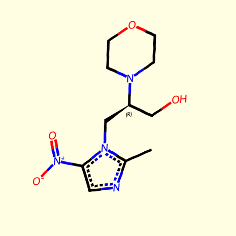 Cc1ncc([N+](=O)[O-])n1C[C@H](CO)N1CCOCC1